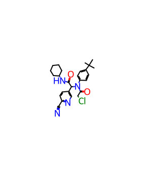 CC(C)(C)c1ccc(N(C(=O)CCl)C(C(=O)NC2CCCCC2)c2ccc(C#N)nc2)cc1